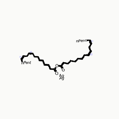 CCCCC/C=C\C/C=C\CCCCCCCC(=O)OC(=O)CCCCCCC/C=C\C/C=C\CCCCC.[Ag].[Ag]